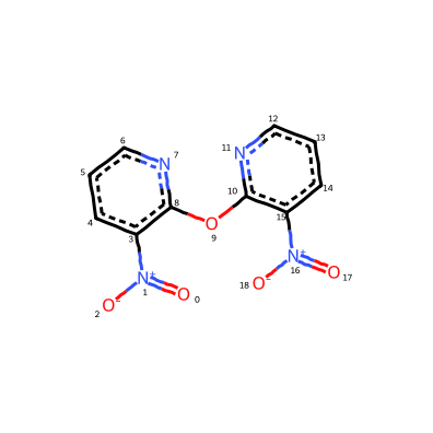 O=[N+]([O-])c1cccnc1Oc1ncccc1[N+](=O)[O-]